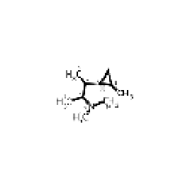 CC1C[C@@H]1C(C)C(C)N(C)C